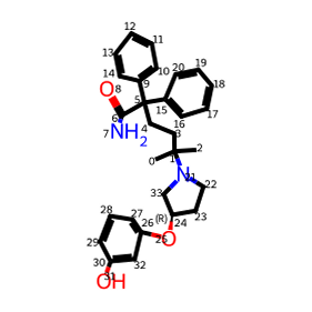 CC(C)(CCC(C(N)=O)(c1ccccc1)c1ccccc1)N1CC[C@@H](Oc2cccc(O)c2)C1